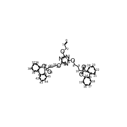 C=CCOc1nc(OCCCP2(=O)Oc3ccccc3-c3ccccc32)nc(OCCCP2(=O)Oc3ccccc3-c3ccccc32)n1